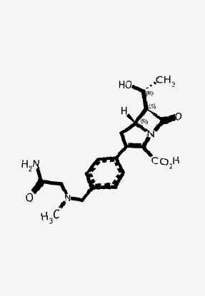 C[C@@H](O)[C@H]1C(=O)N2C(C(=O)O)=C(c3ccc(CN(C)CC(N)=O)cc3)C[C@H]12